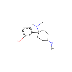 CC(C)NC1CCC(c2cccc(O)c2)(N(C)C)CC1